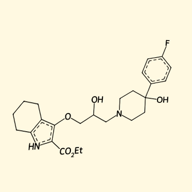 CCOC(=O)c1[nH]c2c(c1OCC(O)CN1CCC(O)(c3ccc(F)cc3)CC1)CCCC2